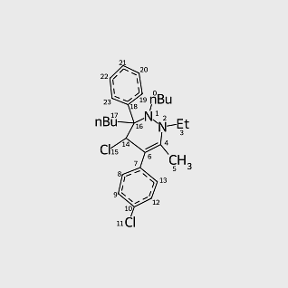 CCCCN1N(CC)C(C)=C(c2ccc(Cl)cc2)C(Cl)C1(CCCC)c1ccccc1